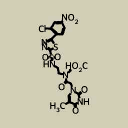 Cc1cn(CC(=O)N(CCNS(=O)(=O)c2nnc(-c3ccc([N+](=O)[O-])cc3Cl)s2)CC(=O)O)c(=O)[nH]c1=O